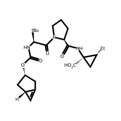 CC[C@@H]1C[C@]1(NC(=O)[C@@H]1CCCN1C(=O)[C@@H](NC(=O)O[C@@H]1CC2=C[C@@H]2C1)C(C)(C)C)C(=O)O